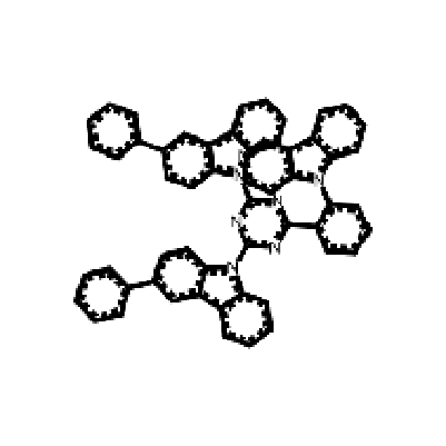 c1ccc(-c2ccc3c(c2)c2ccccc2n3-c2nc(-c3ccccc3-n3c4ccccc4c4cnccc43)nc(-n3c4ccccc4c4cc(-c5ccccc5)ccc43)n2)cc1